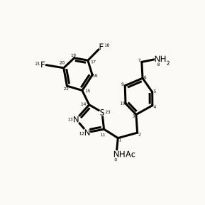 CC(=O)NC(Cc1ccc(CN)cc1)c1nnc(-c2cc(F)cc(F)c2)s1